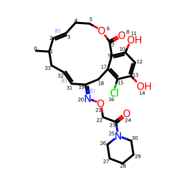 CC1/C=C/CCOC(=O)c2c(O)cc(O)c(Cl)c2CC(=N\OCC(=O)N2CCCCC2)/C=C/C1